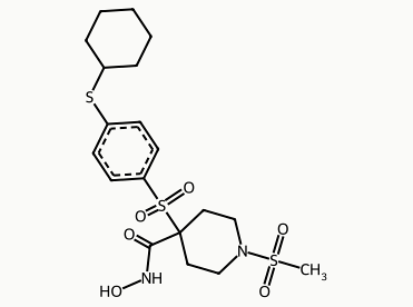 CS(=O)(=O)N1CCC(C(=O)NO)(S(=O)(=O)c2ccc(SC3CCCCC3)cc2)CC1